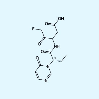 CC[C@@H](C(=O)NC(CC(=O)O)C(=O)CF)n1cnccc1=O